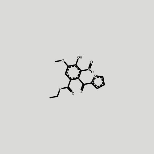 CCOC(=O)c1cc(OC)c(O)c([N+](=O)[O-])c1C(=O)c1cccs1